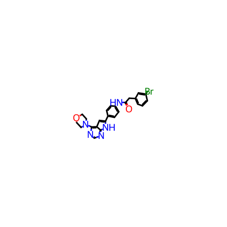 O=C(Cc1cccc(Br)c1)Nc1ccc(-c2cc3c(N4CCOCC4)ncnc3[nH]2)cc1